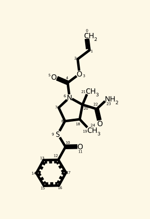 C=CCOC(=O)N1CC(SC(=O)c2ccccc2)C(C)C1(C)C(N)=O